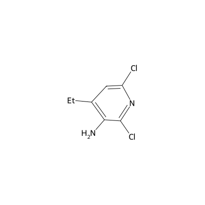 CCc1cc(Cl)nc(Cl)c1N